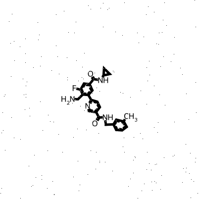 Cc1cccc(CNC(=O)c2ccc(-c3cc(C(=O)NC4CC4)cc(F)c3CN)nc2)c1